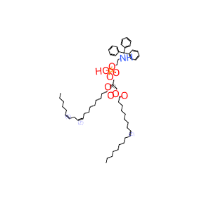 CCCCC/C=C\C/C=C\CCCCCCCC(=O)O[C@H](COC(=O)CCCCCCC/C=C\CCCCCCCC)COP(=O)(O)OCCNC(c1ccccc1)(c1ccccc1)c1ccccc1